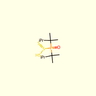 CC(C)C(C)(C)P(=O)(S(=S)S)C(C)(C)C(C)C